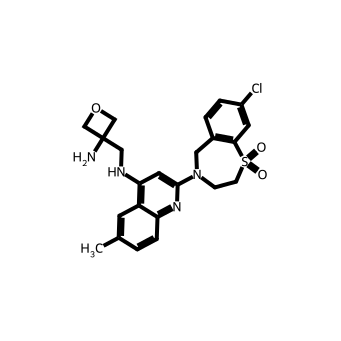 Cc1ccc2nc(N3CCS(=O)(=O)c4cc(Cl)ccc4C3)cc(NCC3(N)COC3)c2c1